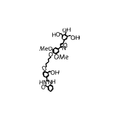 COc1cc(-c2cc(-c3cc(CO)c(CO)c(CO)c3)on2)cc(OC)c1OCCCCCOc1ccc(C2NC(=O)c3ccccc3N2)cc1CO